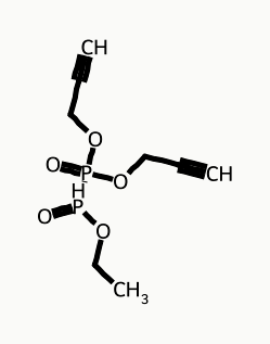 C#CCOP(=O)(OCC#C)[PH](=O)OCC